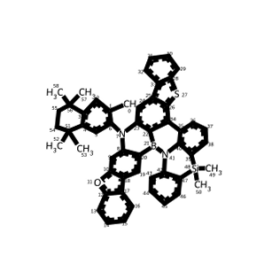 Cc1cc2c(cc1N1c3cc4oc5ccccc5c4cc3B3c4c1cc1c(sc5ccccc51)c4-c1cccc4c1N3c1ccccc1[Si]4(C)C)C(C)(C)CCC2(C)C